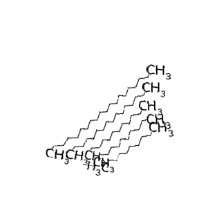 CCCCCCCCCC.CCCCCCCCCCC.CCCCCCCCCCCC.CCCCCCCCCCCCCCCC.CCCCCCCCCCCCCCCCCCCC